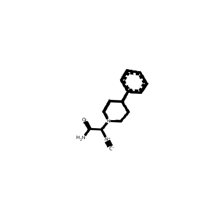 [C-]#[N+]C(C(N)=O)N1CCC(c2ccccc2)CC1